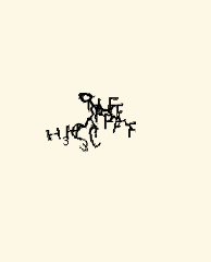 CCCCC(CC)CCN(CC(F)C(F)C(F)C(F)C(F)CCCF)c1ccccc1